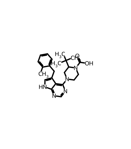 Cc1ccccc1Cc1c[nH]c2ncnc(N3CCN(C(=O)O)C(C(C)(C)C)C3)c12